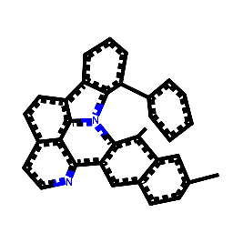 Cc1ccc2cc3c4nccc5ccc6c7cccc(-c8ccccc8)c7n(c3c(C)c2c1)c6c54